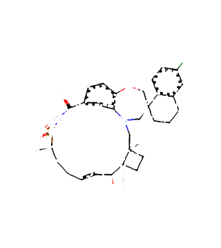 CC[C@@H]1CC/C=C/[C@H](O)[C@@H]2CC[C@H]2CN2C[C@@]3(CCCc4cc(Cl)ccc43)COc3ccc(cc32)C(=O)NS1(=O)=O